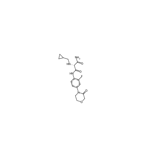 NC(=O)[C@@H](NCC1CC1)C(=O)Nc1ccc(N2CCOCC2=O)cc1F